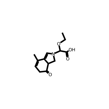 CCOC(C(=O)O)N1C=C2C(C)=CCC(=O)C2C1